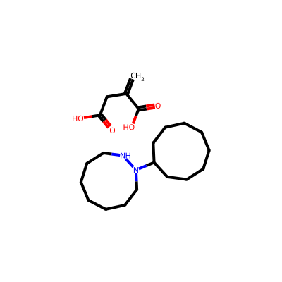 C1CCCCC(N2CCCCCCCN2)CCC1.C=C(CC(=O)O)C(=O)O